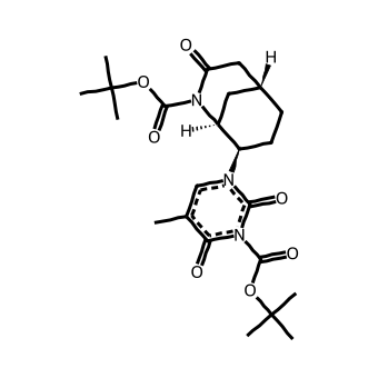 Cc1cn([C@@H]2CC[C@H]3CC(=O)N(C(=O)OC(C)(C)C)[C@H]2C3)c(=O)n(C(=O)OC(C)(C)C)c1=O